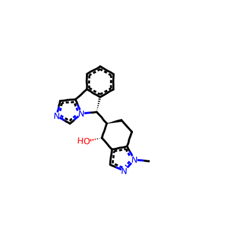 Cn1ncc2c1CC[C@H]([C@H]1c3ccccc3-c3cncn31)[C@H]2O